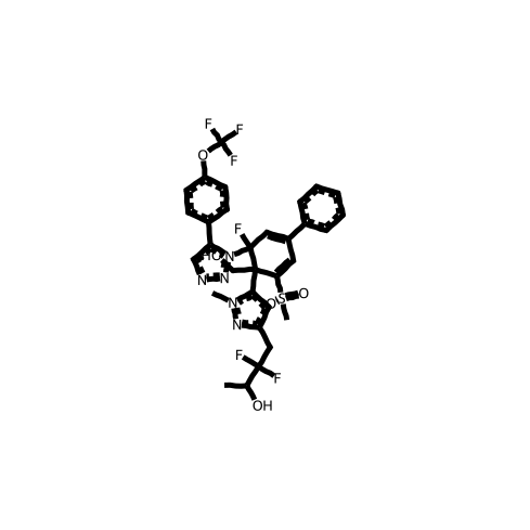 CC(O)C(F)(F)Cc1cc(C2(CO)C(S(C)(=O)=O)=CC(c3ccccc3)=CC2(F)n2nncc2-c2ccc(OC(F)(F)F)cc2)n(C)n1